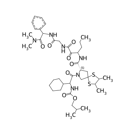 CCCC(NC(=O)[C@@H]1CC2(CN1C(=O)C(NC(=O)OCC(C)C)C1CCCCC1)SC(C)C(C)S2)C(=O)C(=O)NCC(=O)NC(C(=O)N(C)C)c1ccccc1